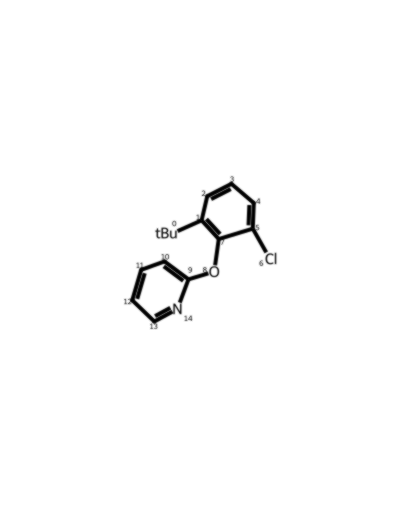 CC(C)(C)c1cccc(Cl)c1Oc1ccccn1